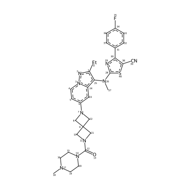 CCc1nn2ccc(N3CC4(CN(C(=O)N5CCN(C)CC5)C4)C3)cc2c1N(C)c1nc(-c2ccc(F)cc2)c(C#N)s1